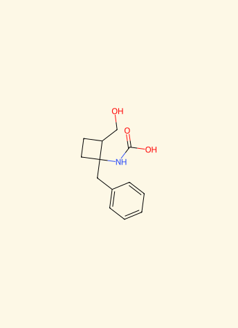 O=C(O)NC1(Cc2ccccc2)CCC1CO